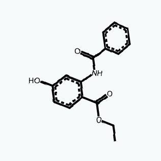 CCOC(=O)c1ccc(O)cc1NC(=O)c1ccccc1